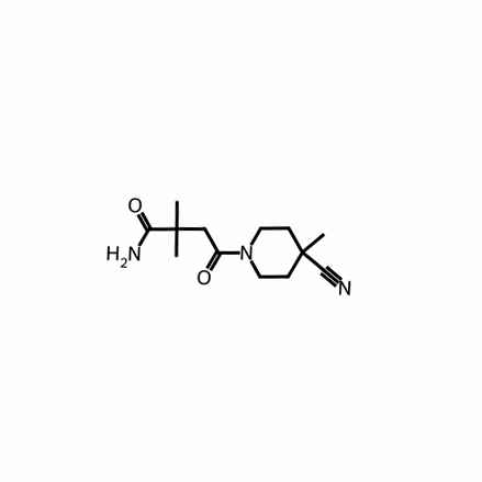 CC1(C#N)CCN(C(=O)CC(C)(C)C(N)=O)CC1